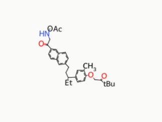 CCC(CCc1ccc2cc(C(=O)CNOC(C)=O)ccc2c1)c1ccc(OCC(=O)C(C)(C)C)c(C)c1